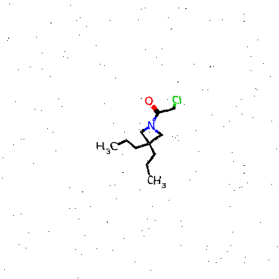 CCCC1(CCC)CN(C(=O)CCl)C1